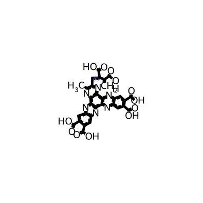 C=C(C(=O)O)/C(=C\c1nc2c(nc1C)c1nc3cc(C(=O)O)c(C(=O)O)cc3nc1c1nc3cc(C(=O)O)c(C(=O)O)cc3nc21)C(=O)O